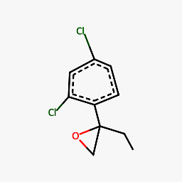 CCC1(c2ccc(Cl)cc2Cl)CO1